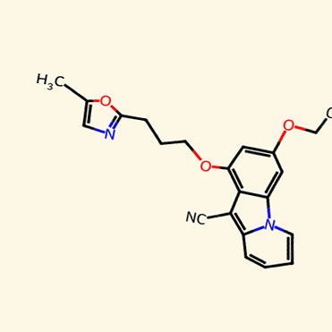 Cc1cnc(CCCOc2cc(OCC#N)cc3c2c(C#N)c2ccccn23)o1